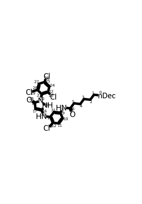 CCCCCCCCCCCCCCCC(=O)Nc1ccc(Cl)c(Nc2cc(=O)n(-c3c(Cl)cc(Cl)cc3Cl)[nH]2)c1